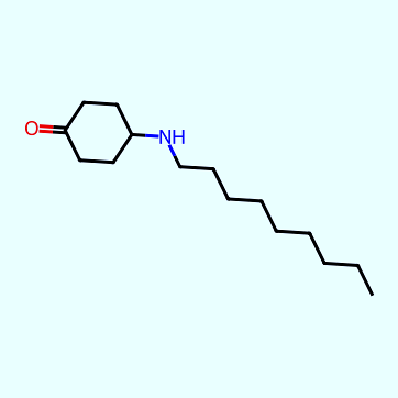 CCCCCCCCCNC1CCC(=O)CC1